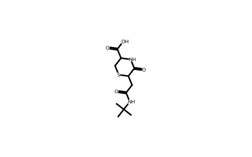 CC(C)(C)NC(=O)CC1SCC(C(=O)O)NC1=O